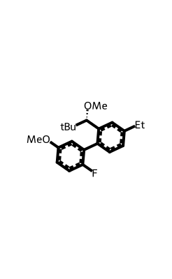 CCc1ccc(-c2cc(OC)ccc2F)c([C@@H](OC)C(C)(C)C)c1